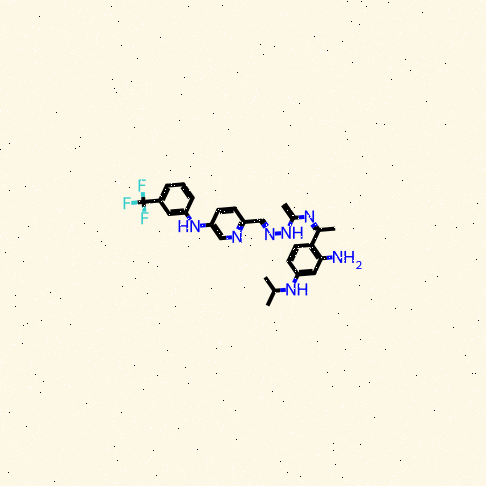 C=C(/N=C(/C)c1ccc(NC(C)C)cc1N)N/N=C/c1ccc(Nc2cccc(C(F)(F)F)c2)cn1